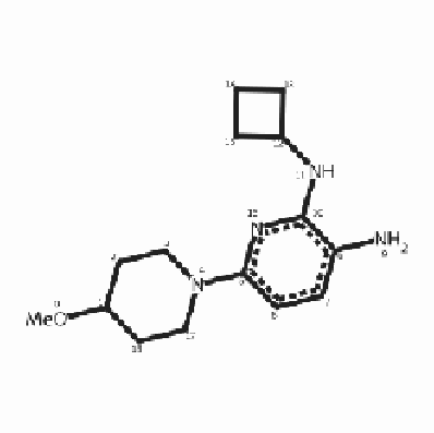 COC1CCN(c2ccc(N)c(NC3CCC3)n2)CC1